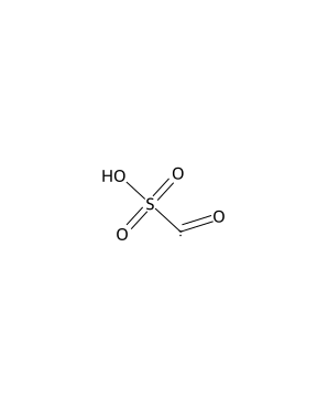 O=[C]S(=O)(=O)O